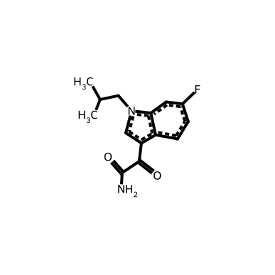 CC(C)Cn1cc(C(=O)C(N)=O)c2ccc(F)cc21